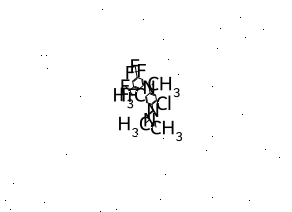 CCN(C)C=Nc1cc(C)c(N(C)c2cc(C(F)(F)F)cc(C(F)(F)F)c2)cc1Cl